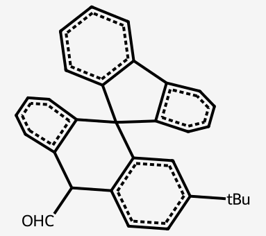 CC(C)(C)c1ccc2c(c1)C1(c3ccccc3-c3ccccc31)c1ccccc1C2C=O